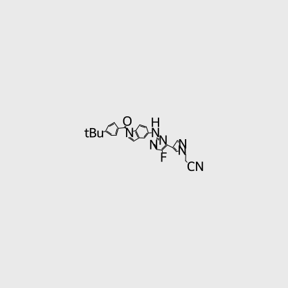 CC(C)(C)c1ccc(C(=O)n2ccc3cc(Nc4ncc(F)c(-c5cnn(CCC#N)c5)n4)ccc32)cc1